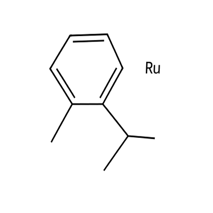 Cc1ccccc1C(C)C.[Ru]